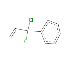 C=CC(Cl)(Cl)c1ccccc1